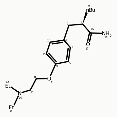 CCCC[C@H](Cc1ccc(OCCN(CC)CC)cc1)C(N)=O